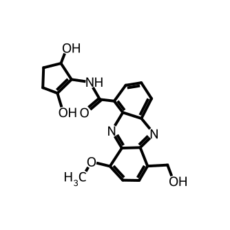 COc1ccc(CO)c2nc3cccc(C(=O)NC4=C(O)CCC4O)c3nc12